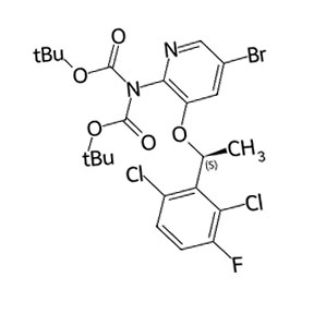 C[C@H](Oc1cc(Br)cnc1N(C(=O)OC(C)(C)C)C(=O)OC(C)(C)C)c1c(Cl)ccc(F)c1Cl